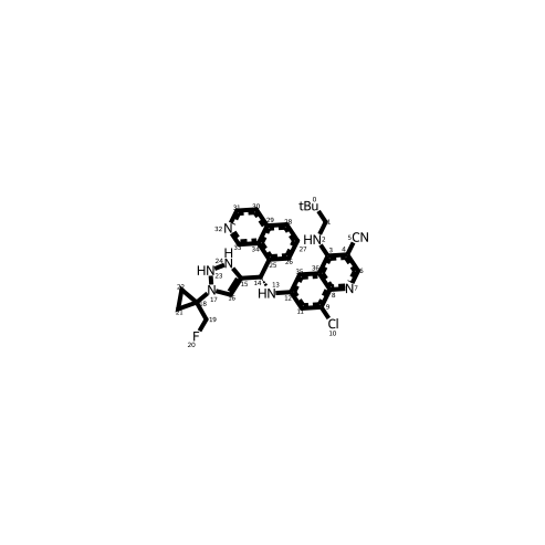 CC(C)(C)CNc1c(C#N)cnc2c(Cl)cc(N[C@H](C3=CN(C4(CF)CC4)NN3)c3cccc4ccncc34)cc12